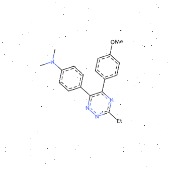 CCc1nnc(-c2ccc(N(C)C)cc2)c(-c2ccc(OC)cc2)n1